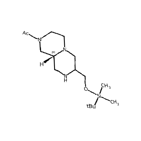 CC(=O)N1CCN2CC(CO[Si](C)(C)C(C)(C)C)NC[C@@H]2C1